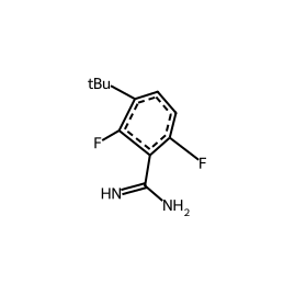 CC(C)(C)c1ccc(F)c(C(=N)N)c1F